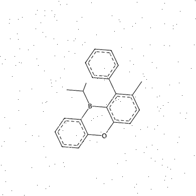 Cc1ccc2c(c1-c1ccccc1)B(C(C)C)c1ccccc1O2